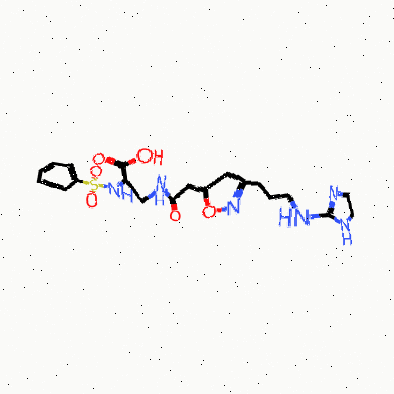 O=C(CC1CC(CCCNC2=NCCN2)=NO1)NCC(NS(=O)(=O)c1ccccc1)C(=O)O